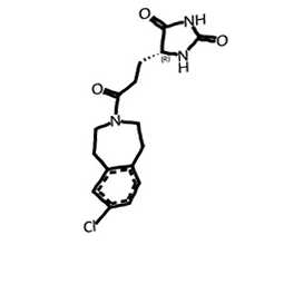 O=C1NC(=O)[C@@H](CCC(=O)N2CCc3ccc(Cl)cc3CC2)N1